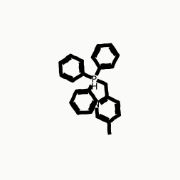 Cc1ccc(C[PH](c2ccccc2)(c2ccccc2)c2ccccc2)nc1